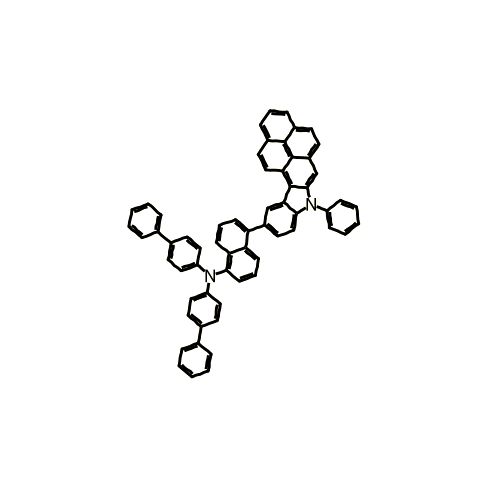 c1ccc(-c2ccc(N(c3ccc(-c4ccccc4)cc3)c3cccc4c(-c5ccc6c(c5)c5c7ccc8cccc9ccc(cc5n6-c5ccccc5)c7c98)cccc34)cc2)cc1